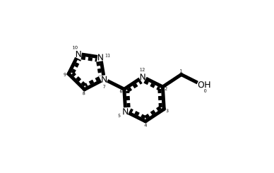 OCc1ccnc(-n2ccnn2)n1